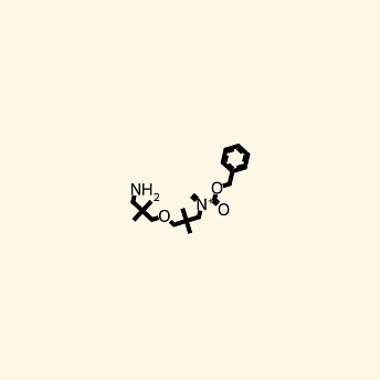 C=[N+](CC(C)(C)COCC(C)(C)CN)C(=O)OCc1ccccc1